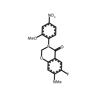 CNc1cc2c(cc1F)C(=O)N(c1ccc([N+](=O)[O-])cc1OC)CO2